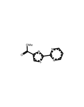 COC(=O)c1csc(-c2ncccn2)n1